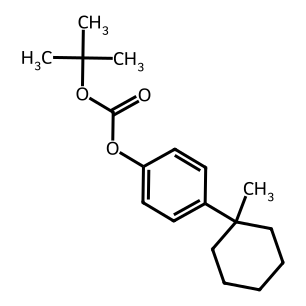 CC(C)(C)OC(=O)Oc1ccc(C2(C)CCCCC2)cc1